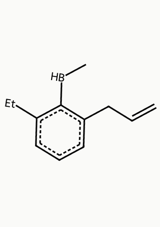 C=CCc1cccc(CC)c1BC